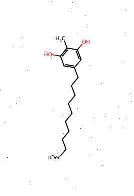 CCCCCCCCCCCCCCCCCCCc1cc(O)c(C)c(O)c1